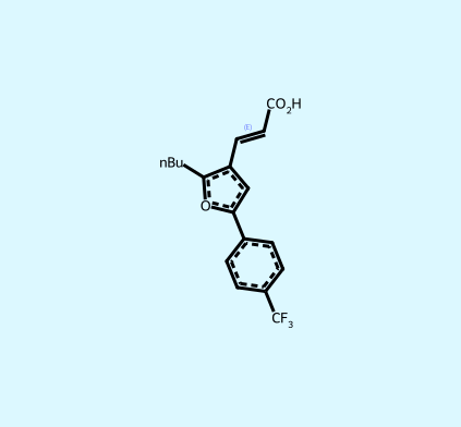 CCCCc1oc(-c2ccc(C(F)(F)F)cc2)cc1/C=C/C(=O)O